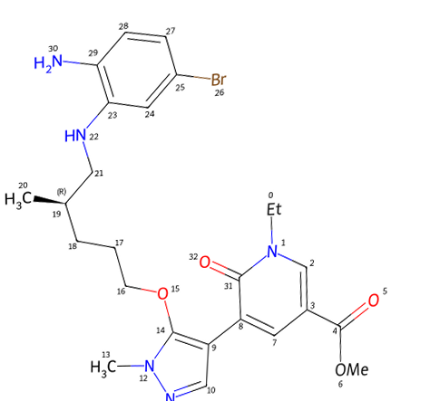 CCn1cc(C(=O)OC)cc(-c2cnn(C)c2OCCC[C@@H](C)CNc2cc(Br)ccc2N)c1=O